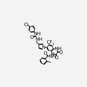 Cc1ccccc1C(=O)Nn1c(=O)c(=O)[nH]c2cc(C(F)(F)F)c(-n3ccc(CNC(=O)Nc4ccc(Cl)cc4)c3)cc21